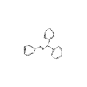 C(=C\c1ccccc1)/[C](c1ccccc1)c1ccccc1